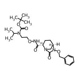 CC(C)N(CCONC(=O)[C@@H]1CC[C@@H]2CN1C(=O)N2OCc1ccccc1)C(=O)OC(C)(C)C